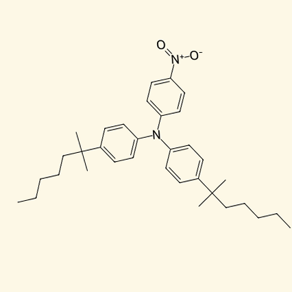 CCCCCC(C)(C)c1ccc(N(c2ccc([N+](=O)[O-])cc2)c2ccc(C(C)(C)CCCCC)cc2)cc1